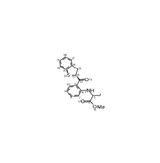 COC(=O)C(C)Nc1ccccc1C(=O)[C@@H]1Cc2ccccc2S1